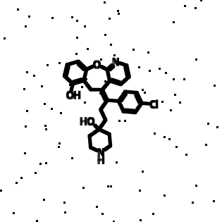 Oc1cccc2c1CC(=C(CCC1(O)CCNCC1)c1ccc(Cl)cc1)c1cccnc1O2